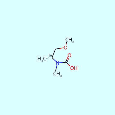 COC[C@@H](C)N(C)C(=O)O